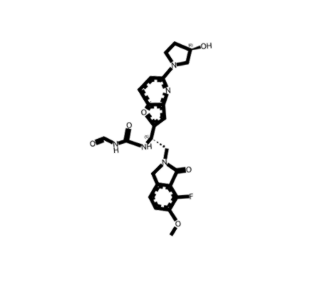 COc1ccc2c(c1F)C(=O)N(C[C@H](NC(=O)NC=O)c1cc3nc(N4CC[C@@H](O)C4)ccc3o1)C2